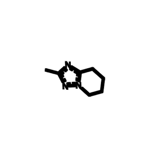 Cc1nc2n(n1)CCCC2